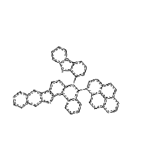 c1ccc2cc3c(cc2c1)sc1c3ccc2c(-c3cccc4c3sc3ccccc34)c(-c3ccc4ccc5cccc6ccc3c4c56)c3ccccc3c21